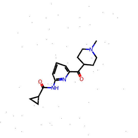 CN1CCC(C(=O)c2cccc(NC(=O)C3CC3)n2)CC1